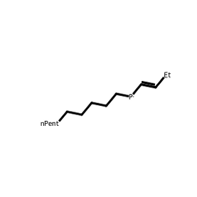 CCC=C[P]CCCCCCCCCC